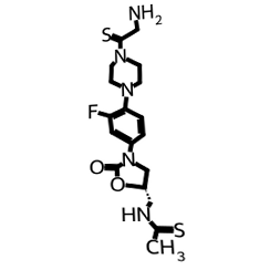 CC(=S)NC[C@H]1CN(c2ccc(N3CCN(C(=S)CN)CC3)c(F)c2)C(=O)O1